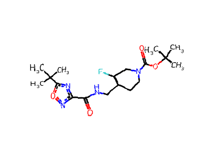 CC(C)(C)OC(=O)N1CCC(CNC(=O)c2noc(C(C)(C)C)n2)C(F)C1